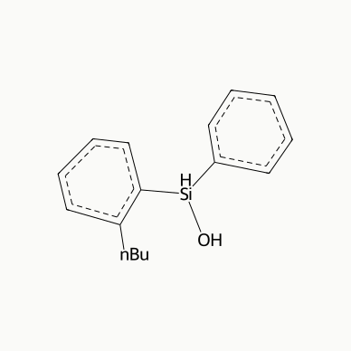 CCCCc1ccccc1[SiH](O)c1ccccc1